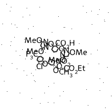 CCOC(=O)C(C)OC(=O)c1cc(Oc2ccc(C(F)(F)F)cc2Cl)ccc1[N+](=O)[O-].COc1cc(OC)nc(Oc2cccc(Oc3nc(OC)cc(OC)n3)c2C(=O)O)n1